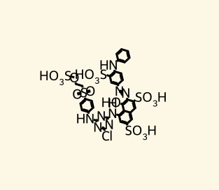 O=S(=O)(O)OCCS(=O)(=O)c1ccc(Nc2nc(Cl)nc(Nc3cc(S(=O)(=O)O)cc4cc(S(=O)(=O)O)c(/N=N/c5ccc(Nc6ccccc6)c(S(=O)(=O)O)c5)c(O)c34)n2)cc1